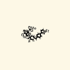 CCn1ccc(-c2ccc(CN3CCC(CC#N)(n4cc(C(N)=O)c(NC(=O)OC)n4)C(F)C3)cc2)n1